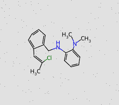 C/C(Cl)=C/c1ccccc1CNc1ccccc1N(C)C